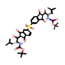 CC(C)C[C@@H](NC(=O)OC(C)(C)C)C(=O)C1C(=O)c2ccc(S(=O)(=O)c3ccc4c(c3)C(=O)C(C(=O)[C@@H](CC(C)C)NC(=O)OC(C)(C)C)C4=O)cc2C1=O